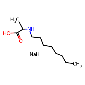 CCCCCCCCNC(C)C(=O)O.[NaH]